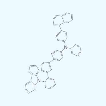 c1ccc(N(c2ccc(-c3cccc(-c4ccccc4-n4c5ccccc5c5ccccc54)c3)cc2)c2ccc(-c3cccc4ccccc34)cc2)cc1